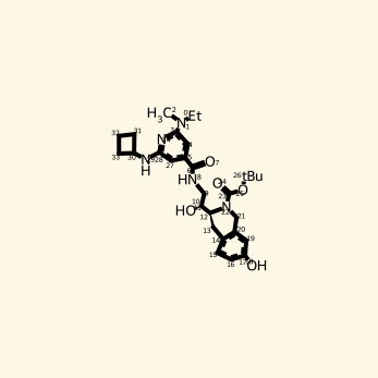 CCN(C)c1cc(C(=O)NC[C@@H](O)[C@@H]2Cc3ccc(O)cc3CN2C(=O)OC(C)(C)C)cc(NC2CCC2)n1